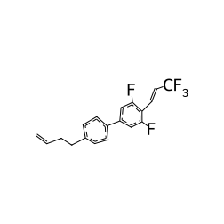 C=CCCc1ccc(-c2cc(F)c(/C=C/C(F)(F)F)c(F)c2)cc1